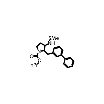 CCCOC(=O)N1CCC(NSC)C1Cc1cccc(-c2ccccc2)c1